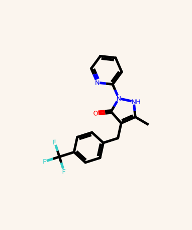 Cc1[nH]n(-c2ccccn2)c(=O)c1Cc1ccc(C(F)(F)F)cc1